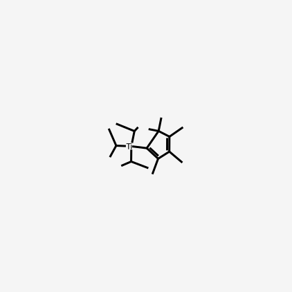 CC1=C(C)C(C)(C)[C]([Ti]([CH](C)C)([CH](C)C)[CH](C)C)=C1C